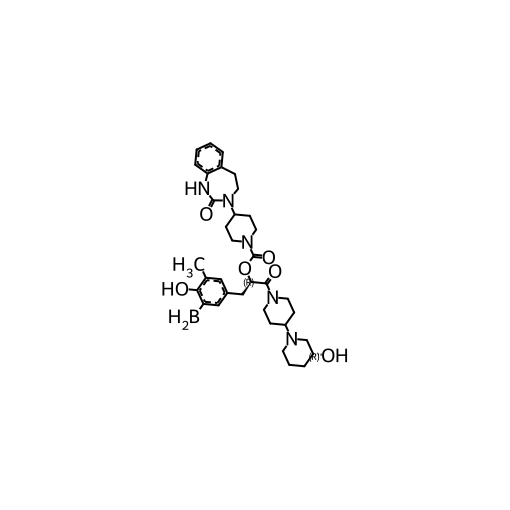 Bc1cc(C[C@@H](OC(=O)N2CCC(N3CCc4ccccc4NC3=O)CC2)C(=O)N2CCC(N3CCC[C@@H](O)C3)CC2)cc(C)c1O